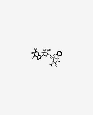 CC(C)OC(=O)C(C)NP(=S)(OC[C@H]1O[C@@H](n2cnc3c(=O)[nH]c(N)nc32)C(C)(O)C1O)Oc1ccccc1